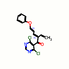 C=C/C(=C\C=C\Oc1ccccc1)C(=O)c1c(Cl)ncnc1Cl